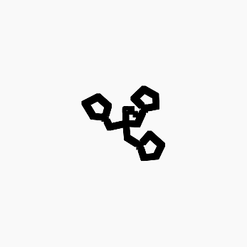 CC(CN1CCCC1)(CN1CCCC1)CN1CCCC1